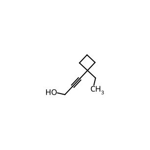 CCC1(C#CCO)CCC1